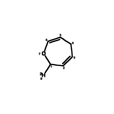 [2H]C1C=CCC=CO1